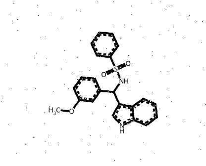 COc1cccc(C(NS(=O)(=O)c2ccccc2)c2c[nH]c3ccccc23)c1